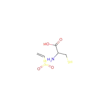 C=C[SH](=O)=O.NC(CS)C(=O)O